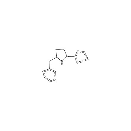 c1ccc(CC2CCC(c3ccccc3)N2)cc1